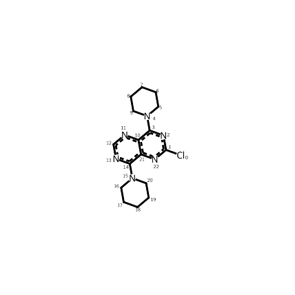 Clc1nc(N2CCCCC2)c2ncnc(N3CCCCC3)c2n1